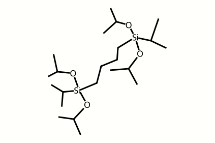 CC(C)O[Si](CCCC[Si](OC(C)C)(OC(C)C)C(C)C)(OC(C)C)C(C)C